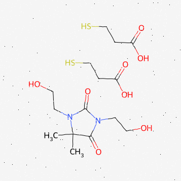 CC1(C)C(=O)N(CCO)C(=O)N1CCO.O=C(O)CCS.O=C(O)CCS